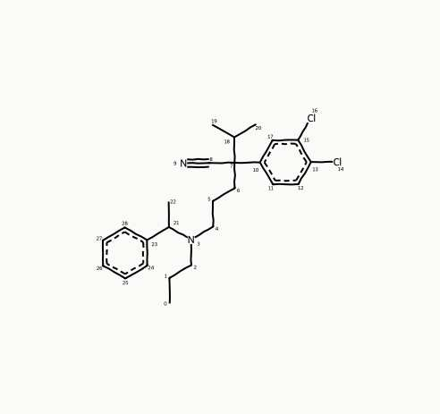 CCCN(CCCC(C#N)(c1ccc(Cl)c(Cl)c1)C(C)C)C(C)c1ccccc1